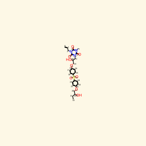 C=CCn1c(=O)n(C)c(=O)n(CC(O)COc2ccc(S(=O)(=O)c3ccc(OCC(O)CC)cc3)cc2)c1=O